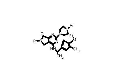 CCOc1ccc([C@@H](C)Nc2nc(N3CCN(C(C)=O)CC3)nc3c2CN(C(C)C)C3=O)cc1C